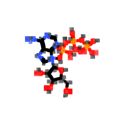 Nc1ncnc2c1N=C[N+]2(OP(=O)(O)OP(=O)(O)OP(=O)(O)O)[C@@H]1O[C@H](CO)[C@@H](O)[C@H]1O